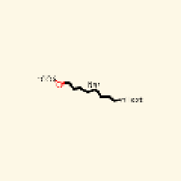 CCCCCCCCCCCCCCCOC(=O)[O-].[Na+]